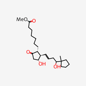 COC(=O)CCCCCC[C@H]1C(=O)C[C@@H](O)[C@@H]1/C=C/CC(O)C1(C)CCCC1